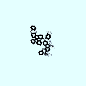 Cc1cccc(N(c2ccc3c(c2)C(C)(C)c2ccc4c(c2-3)Oc2ccccc2[Si]4(C)C)c2ccc3c(c2)C(c2ccccc2)(c2ccccc2)c2ccc4c(c2-3)Oc2ccccc2S4)c1